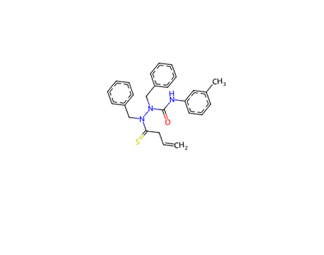 C=CCC(=S)N(Cc1ccccc1)N(Cc1ccccc1)C(=O)Nc1cccc(C)c1